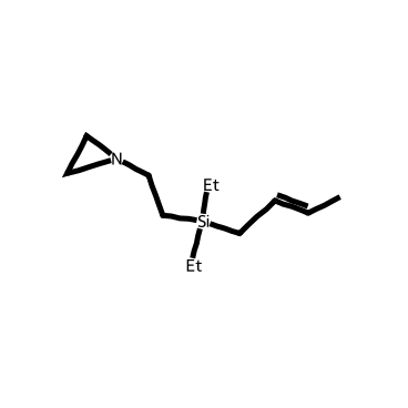 C/C=C/C[Si](CC)(CC)CCN1CC1